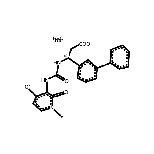 Cn1ccc([O-])c(NC(=O)N[C@@H](CC(=O)[O-])c2cccc(-c3ccccc3)c2)c1=O.[Na+].[Na+]